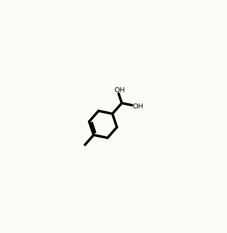 CC1=CCC(C(O)O)CC1